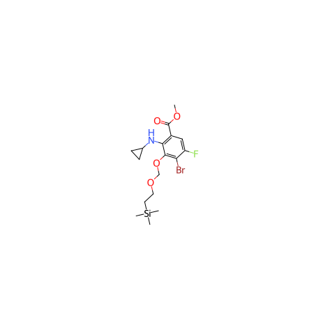 COC(=O)c1cc(F)c(Br)c(OCOCC[Si](C)(C)C)c1NC1CC1